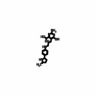 C=C1CCC(c2ccc(NCCCc3c(O)nc(N)nc3C(O)O)cc2)N1